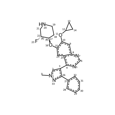 Cn1cc(-c2ncnc3cc(OC4CC4)c(O[C@@H]4CCNC[C@H]4F)cc23)c(-c2ccccc2)n1